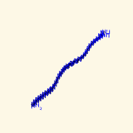 N=N/N=N/N=N/N=N/N=N/N=N/N=N/N=N/N=N/N=N/N=N/N=N/N=N/N=N/N=N/N=N/N=N/N=N/N=N/N=N/N=N/N=N/N=N/N=N/N=N/N=N/N=N/N=N/N=N/N=N/N=N/N